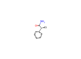 CC[C@H](C(N)=O)c1ccccc1